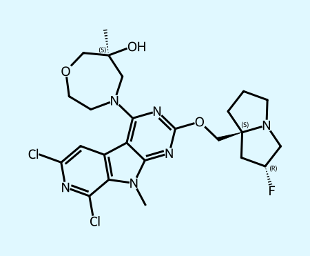 Cn1c2nc(OC[C@@]34CCCN3C[C@H](F)C4)nc(N3CCOC[C@@](C)(O)C3)c2c2cc(Cl)nc(Cl)c21